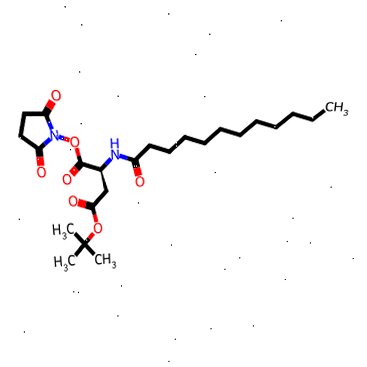 CCCCCCCCCCCC(=O)N[C@@H](CC(=O)OC(C)(C)C)C(=O)ON1C(=O)CCC1=O